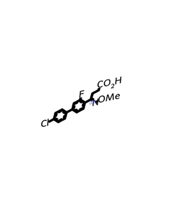 CO/N=C(\CCC(=O)O)c1ccc(-c2ccc(Cl)cc2)cc1F